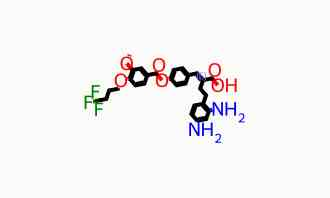 COc1cc(C(=O)Oc2ccc(/C=C(\CCc3ccc(N)cc3N)C(=O)O)cc2)ccc1OCCCC(F)(F)F